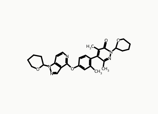 Cc1cc(Oc2nccc3c2cnn3C2CCCCO2)ccc1-c1c(C)nn(C2CCCCO2)c(=O)c1C